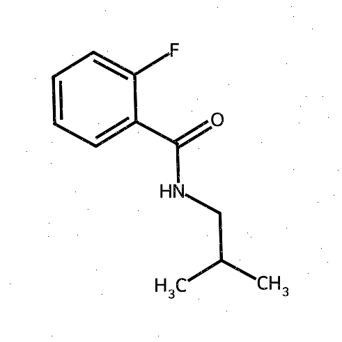 CC(C)CNC(=O)c1ccccc1F